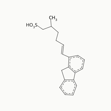 CC(CCC=Cc1cccc2c1Cc1ccccc1-2)CS(=O)(=O)O